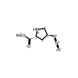 COC(=O)[C@H]1C[C@H](N=[N+]=[N-])CN1